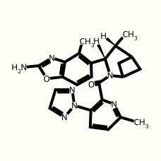 Cc1ccc(-n2nccn2)c(C(=O)N2C3CC(C3)[C@@H](C)[C@H]2c2ccc3oc(N)nc3c2C)n1